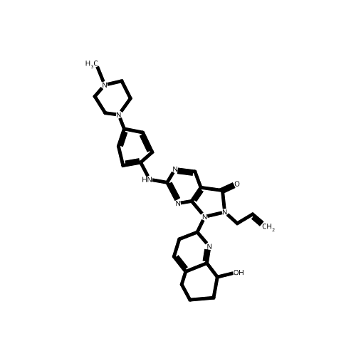 C=CCn1c(=O)c2cnc(Nc3ccc(N4CCN(C)CC4)cc3)nc2n1C1CC=C2CCCC(O)C2=N1